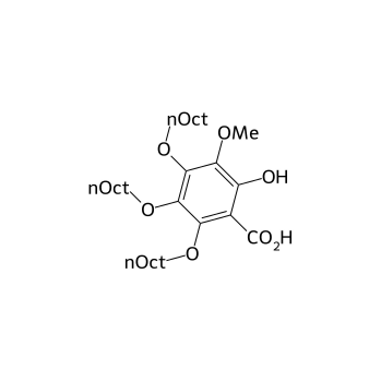 CCCCCCCCOc1c(OC)c(O)c(C(=O)O)c(OCCCCCCCC)c1OCCCCCCCC